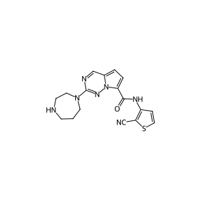 N#Cc1sccc1NC(=O)c1ccc2cnc(N3CCCNCC3)nn12